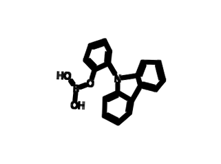 OB(O)Oc1ccccc1-n1c2ccccc2c2ccccc21